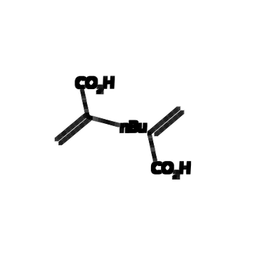 C=C(CCCC)C(=O)O.C=CC(=O)O